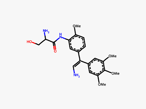 COc1ccc(C(=CN)c2cc(OC)c(OC)c(OC)c2)cc1NC(=O)C(N)CO